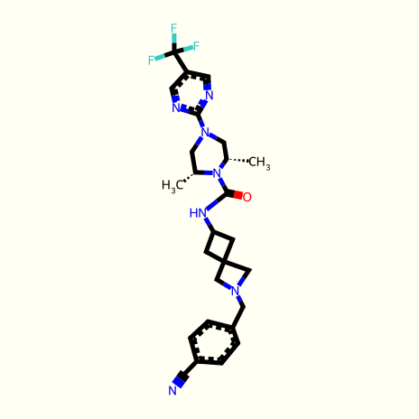 C[C@@H]1CN(c2ncc(C(F)(F)F)cn2)C[C@H](C)N1C(=O)NC1CC2(C1)CN(Cc1ccc(C#N)cc1)C2